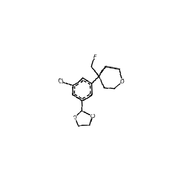 FCC1(c2cc(Cl)cc(C3OCCO3)c2)CCOCC1